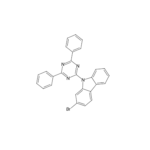 Brc1ccc2c3ccccc3n(-c3nc(-c4ccccc4)nc(-c4ccccc4)n3)c2c1